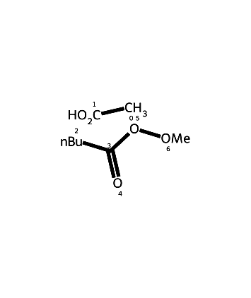 CC(=O)O.CCCCC(=O)OOC